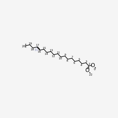 COC(CCCCCCCCCCCCC/C=C/CCI)OC